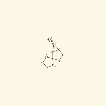 C=C1C2CCC3(OCCO3)C12